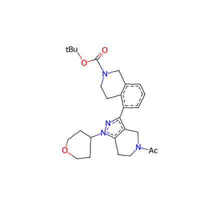 CC(=O)N1CCc2c(c(-c3cccc4c3CCN(C(=O)OC(C)(C)C)C4)nn2C2CCOCC2)C1